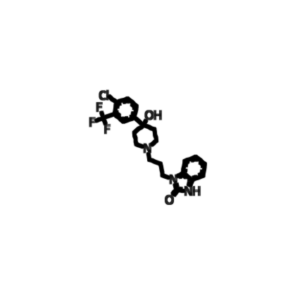 O=c1[nH]c2ccccc2n1CCCN1CCC(O)(c2ccc(Cl)c(C(F)(F)F)c2)CC1